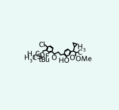 COC(=O)C(C)C(c1ccc(CCC(=O)c2ccc(Cl)c(CO[Si](C)(C)C(C)(C)C)c2F)c(O)c1)C1CC1